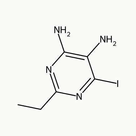 CCc1nc(N)c(N)c(I)n1